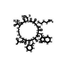 CC(=O)N[C@H]1CSSC[C@@H](C(N)=O)NC(=O)[C@H]([C@@H](C)O)NC(=O)[C@H](CCCCN)NC(=O)[C@@H](Cc2c[nH]c3ccccc23)NC(=O)[C@H](Cc2ccccc2)NC1=O